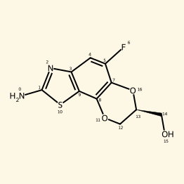 Nc1nc2cc(F)c3c(c2s1)OC[C@H](CO)O3